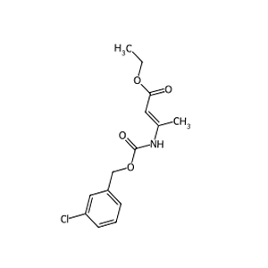 CCOC(=O)C=C(C)NC(=O)OCc1cccc(Cl)c1